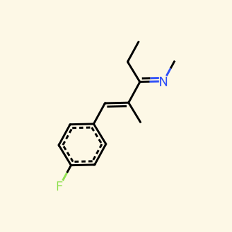 CCC(=N\C)/C(C)=C/c1ccc(F)cc1